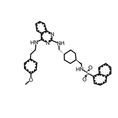 COc1ccc(CCNc2nc(NC[C@H]3CC[C@H](CNS(=O)(=O)c4cccc5ccccc45)CC3)nc3ccccc23)cc1